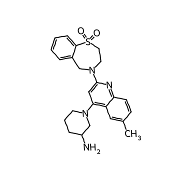 Cc1ccc2nc(N3CCS(=O)(=O)c4ccccc4C3)cc(N3CCCC(N)C3)c2c1